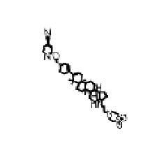 CC1(C)C(C2=CC[C@H](COc3cc(C#N)ccn3)CC2)=CC[C@@]2(C)C1CC[C@]1(C)C2CC[C@@H]2[C@H]3CCC[C@]3(NCCN3CCS(=O)(=O)CC3)CC[C@]21C